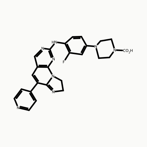 O=C(O)N1CCN(c2ccc(Nc3ncc4c(n3)N3CCN=C3C(c3ccncc3)=C4)c(F)c2)CC1